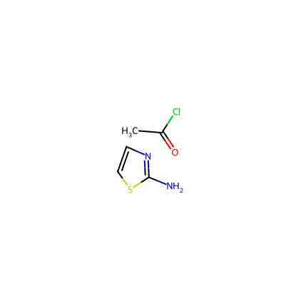 CC(=O)Cl.Nc1nccs1